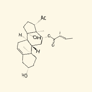 C/C=C(\C)C(=O)O[C@@H]1C[C@H]2[C@@H](CC=C3C[C@@H](O)CC[C@@]32C)[C@@]2(O)CC[C@H](C(C)=O)[C@@]12C